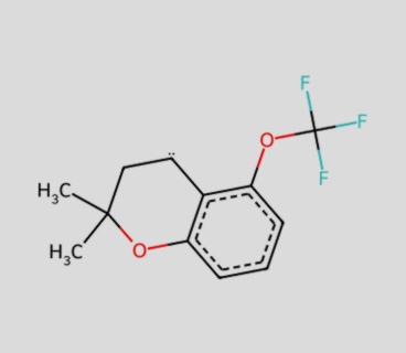 CC1(C)C[C]c2c(OC(F)(F)F)cccc2O1